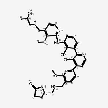 COc1nc(-c2ccnc(-c3cccc(Nc4nccc(CNC[C@@H](C)O)c4OC)c3Cl)c2Cl)ccc1CNC[C@@H]1CCC(=O)N1